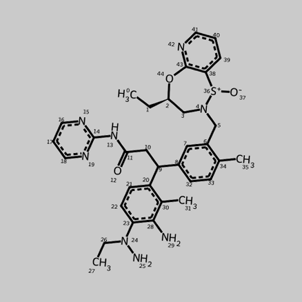 CC[C@@H]1CN(Cc2cc(C(CC(=O)Nc3ncccn3)c3ccc(N(N)CC)c(N)c3C)ccc2C)[S+]([O-])c2cccnc2O1